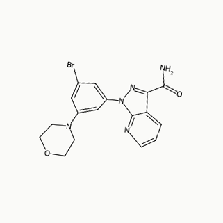 NC(=O)c1nn(-c2cc(Br)cc(N3CCOCC3)c2)c2ncccc12